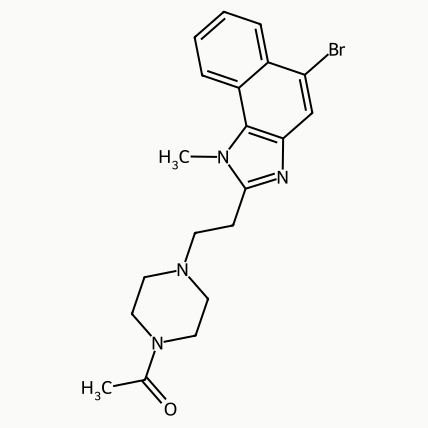 CC(=O)N1CCN(CCc2nc3cc(Br)c4ccccc4c3n2C)CC1